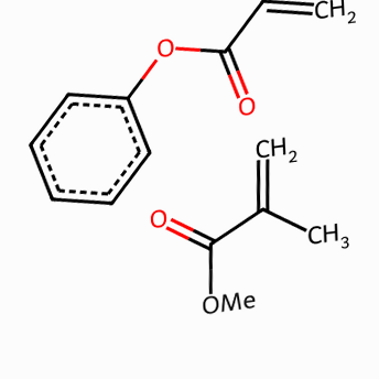 C=C(C)C(=O)OC.C=CC(=O)Oc1ccccc1